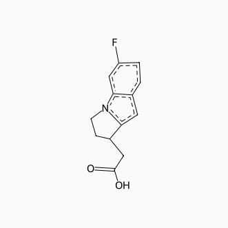 O=C(O)CC1CCn2c1cc1ccc(F)cc12